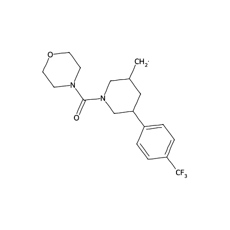 [CH2]C1CC(c2ccc(C(F)(F)F)cc2)CN(C(=O)N2CCOCC2)C1